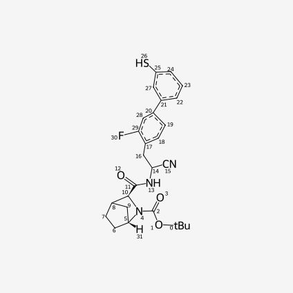 CC(C)(C)OC(=O)N1[C@@H]2CCC(C2)[C@H]1C(=O)NC(C#N)Cc1ccc(-c2cccc(S)c2)cc1F